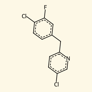 Fc1cc(Cc2ccc(Cl)cn2)ccc1Cl